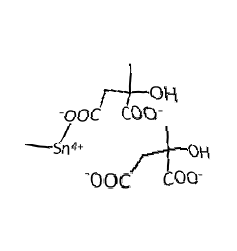 CC(O)(CC(=O)[O-])C(=O)[O-].CC(O)(CC(=O)[O-])C(=O)[O-].[CH3][Sn+4][CH3]